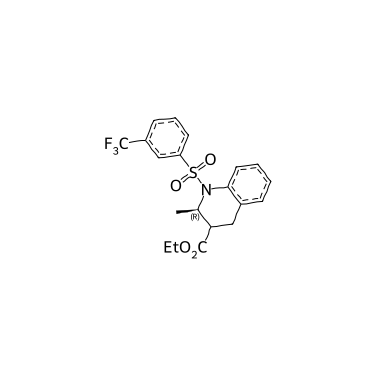 CCOC(=O)C1Cc2ccccc2N(S(=O)(=O)c2cccc(C(F)(F)F)c2)[C@@H]1C